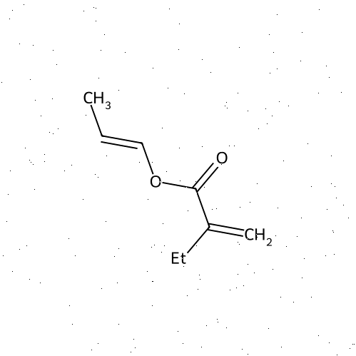 C=C(CC)C(=O)OC=CC